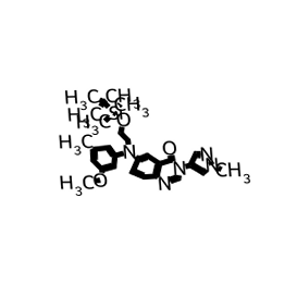 COc1cc(C)cc(N(CCO[Si](C)(C)C(C)(C)C)c2ccc3ncn(-c4cnn(C)c4)c(=O)c3c2)c1